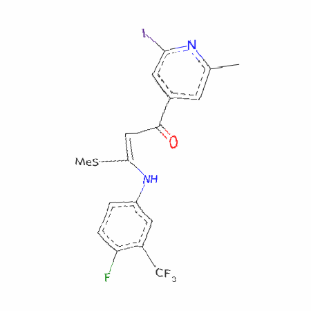 CS/C(=C/C(=O)c1cc(C)nc(I)c1)Nc1ccc(F)c(C(F)(F)F)c1